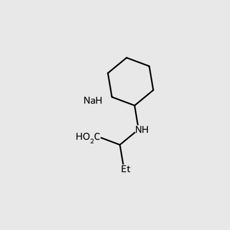 CCC(NC1CCCCC1)C(=O)O.[NaH]